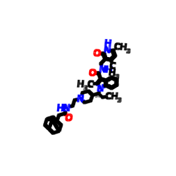 CC[C@@H](C1CCN(CCNC(=O)CC23CC4CC(CC(C4)C2)C3)CC1)n1c(C)c(C(=O)NCc2c(C)cc(C)[nH]c2=O)c2ccccc21